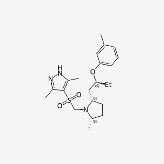 CC[C@@H](C[C@@H]1CC[C@H](C)N1CS(=O)(=O)c1c(C)n[nH]c1C)Oc1cccc(C)c1